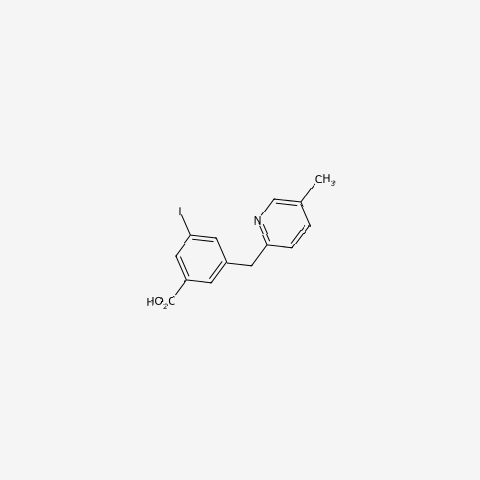 Cc1ccc(Cc2cc(I)cc(C(=O)O)c2)nc1